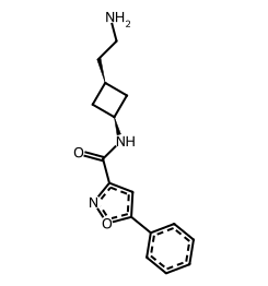 NCC[C@H]1C[C@@H](NC(=O)c2cc(-c3ccccc3)on2)C1